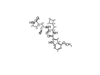 COc1cccc2[nH]c(C(=O)NC(CC3CCC3)C(=O)N[C@H](C#N)CC3CCNC3=O)cc12